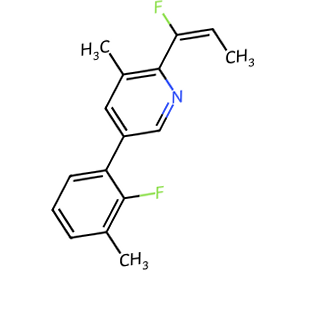 C/C=C(/F)c1ncc(-c2cccc(C)c2F)cc1C